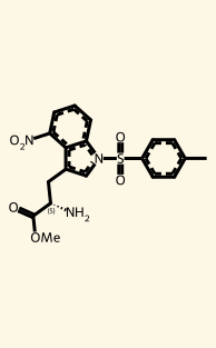 COC(=O)[C@@H](N)Cc1cn(S(=O)(=O)c2ccc(C)cc2)c2cccc([N+](=O)[O-])c12